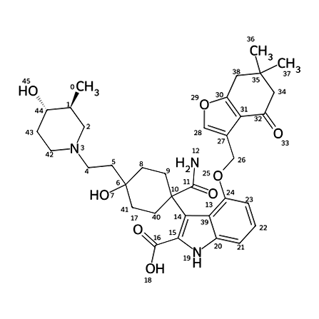 C[C@H]1CN(CCC2(O)CCC(C(N)=O)(c3c(C(=O)O)[nH]c4cccc(OCc5coc6c5C(=O)CC(C)(C)C6)c34)CC2)CC[C@@H]1O